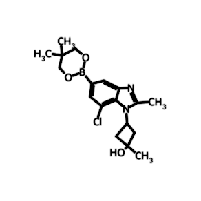 Cc1nc2cc(B3OCC(C)(C)CO3)cc(Cl)c2n1C1CC(C)(O)C1